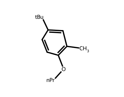 CCCOc1ccc(C(C)(C)C)cc1C